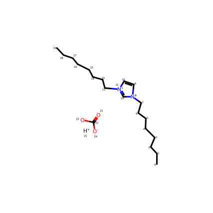 CCCCCCCCn1cc[n+](CCCCCCCC)c1.O=C([O-])[O-].[H+]